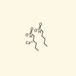 CCCCC[PH](=O)[O-].CCCCC[PH](=O)[O-].[Ca+2]